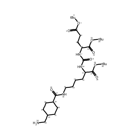 CC(C)(C)OC(=O)CC[C@H](NC(=O)NC(CCCCNC(=O)C1CCC(CN)CC1)C(=O)OC(C)(C)C)C(=O)OC(C)(C)C